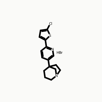 Br.Clc1ccc(-c2ccc(C34CCCN(CC3)C4)cn2)s1